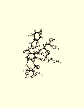 COCP(=O)(N[C@@H](C)C(=O)OC(C)C)Oc1c2n(cc(C(=O)NCc3ccc(F)cc3F)c1=O)C[C@H]1OCC[C@H](C)N1C2=O